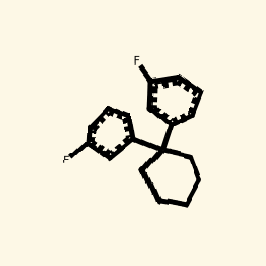 Fc1cccc(C2(c3cccc(F)c3)CCCCC2)c1